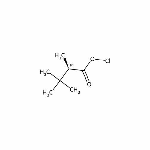 C[C@@H](C(=O)OCl)C(C)(C)C